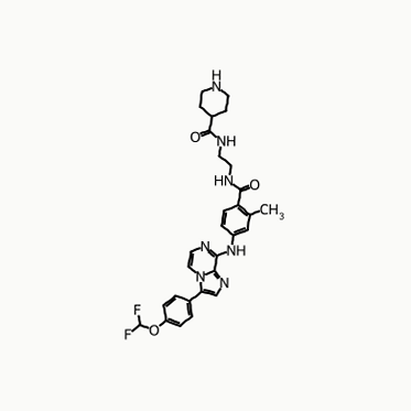 Cc1cc(Nc2nccn3c(-c4ccc(OC(F)F)cc4)cnc23)ccc1C(=O)NCCNC(=O)C1CCNCC1